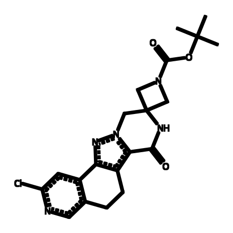 CC(C)(C)OC(=O)N1CC2(C1)Cn1nc3c(c1C(=O)N2)CCc1cnc(Cl)cc1-3